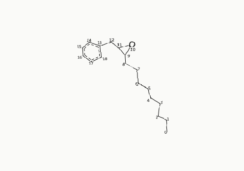 CCCCCCCCCC1OC1Cc1ccccc1